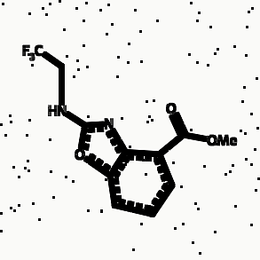 COC(=O)c1cccc2oc(NCC(F)(F)F)nc12